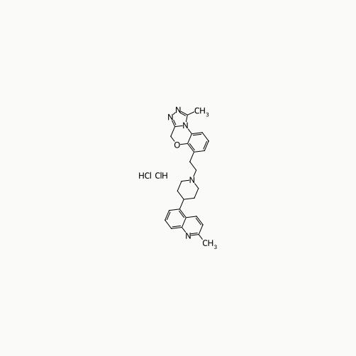 Cc1ccc2c(C3CCN(CCc4cccc5c4OCc4nnc(C)n4-5)CC3)cccc2n1.Cl.Cl